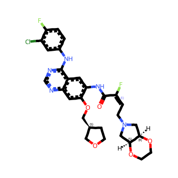 O=C(Nc1cc2c(Nc3ccc(F)c(Cl)c3)ncnc2cc1OC[C@H]1CCOC1)/C(F)=C\CN1C[C@@H]2OCCO[C@@H]2C1